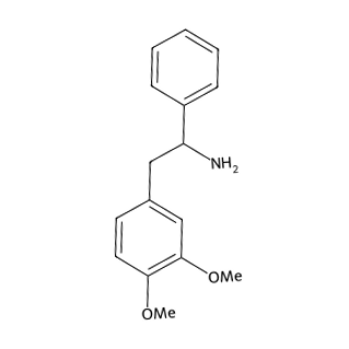 COc1ccc(CC(N)c2ccccc2)cc1OC